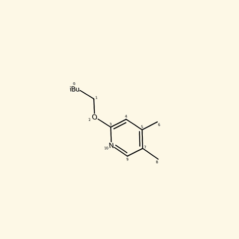 CCC(C)COc1cc(C)c(C)cn1